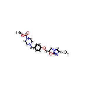 CC(C)(C)OC(=O)N1CCN(Cc2ccc(OCC3Cn4cc([N+](=O)[O-])nc4O3)cc2)CC1